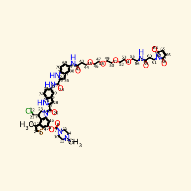 Cc1csc2c(OC(=O)N3CCN(C)CC3)cc3c(c12)[C@@H](CCl)CN3C(=O)c1cc2cc(NC(=O)c3cc4cc(NC(=O)CCOCCOCCOCCOCCNC(=O)CCN5C(=O)C=CC5=O)ccc4[nH]3)ccc2[nH]1